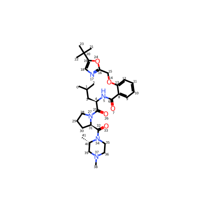 CC(C)C[C@@H](NC(=O)c1ccccc1OCc1ncc(C(C)(C)C)o1)C(=O)N1CCC[C@@H]1C(=O)N1CCN(C)C[C@@H]1C